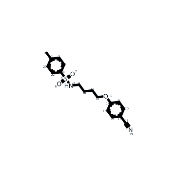 Cc1ccc(S(=O)(=O)NCCCCOc2ccc(C#N)cc2)cc1